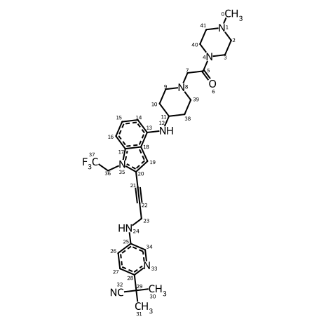 CN1CCN(C(=O)CN2CCC(Nc3cccc4c3cc(C#CCNc3ccc(C(C)(C)C#N)nc3)n4CC(F)(F)F)CC2)CC1